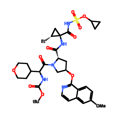 CC[C@@H]1C[C@]1(NC(=O)[C@@H]1C[C@@H](Oc2nccc3cc(OC)ccc23)CN1C(=O)[C@@H](NC(=O)OC(C)(C)C)C1CCOCC1)C(=O)NS(=O)(=O)OC1CC1